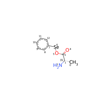 C[C@H](N)C(=O)O[Se]c1ccccc1